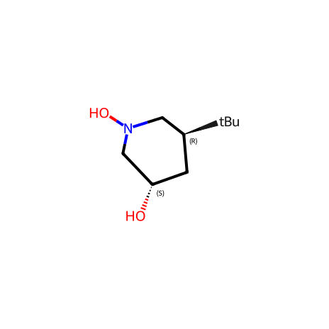 CC(C)(C)[C@H]1C[C@H](O)CN(O)C1